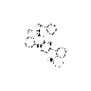 CC(C)c1ccccc1C(Nc1c(C(C)C)cccc1C(C)C)c1cccc(-c2cccc3c2NCCC3)n1